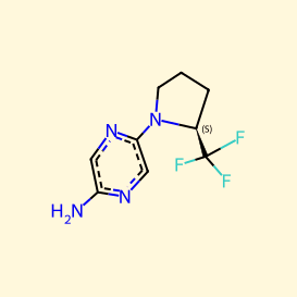 Nc1cnc(N2CCC[C@H]2C(F)(F)F)cn1